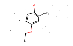 CC(=O)COc1ccc([O])c(C)c1